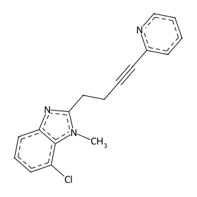 Cn1c(CCC#Cc2ccccn2)nc2cccc(Cl)c21